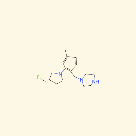 Cc1ccc(CN2CCNCC2)c(N2CC[C@H](CF)C2)c1